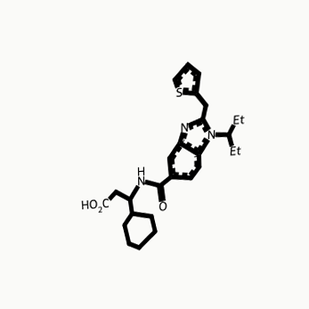 CCC(CC)n1c(Cc2cccs2)nc2cc(C(=O)NC(CC(=O)O)C3CCCCC3)ccc21